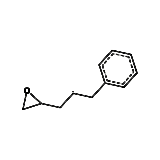 [CH](Cc1ccccc1)CC1CO1